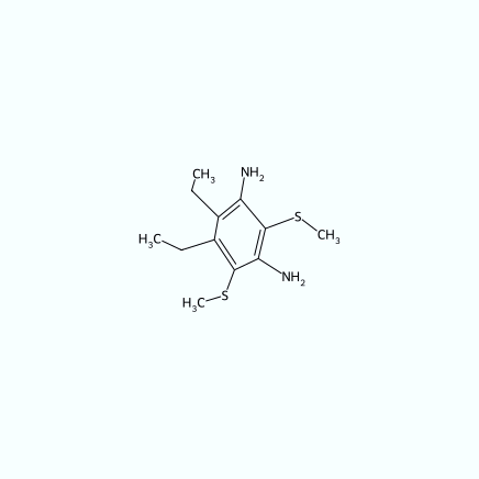 CCc1c(N)c(SC)c(N)c(SC)c1CC